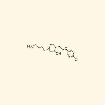 CCCCCN1CC[C@@H](CCOc2ccc(Cl)cc2)[C@@H](O)C1